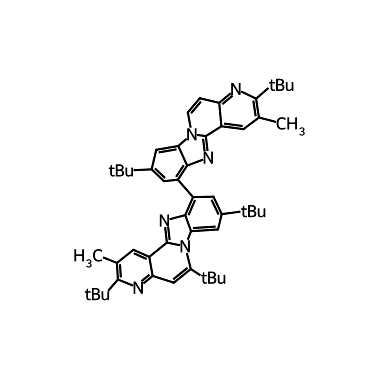 Cc1cc2c(ccn3c4cc(C(C)(C)C)cc(-c5cc(C(C)(C)C)cc6c5nc5c7cc(C)c(C(C)(C)C)nc7cc(C(C)(C)C)n65)c4nc23)nc1C(C)(C)C